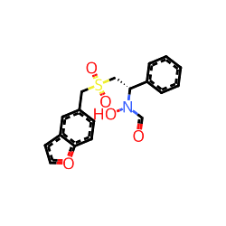 O=CN(O)[C@H](CS(=O)(=O)Cc1ccc2occc2c1)c1ccccc1